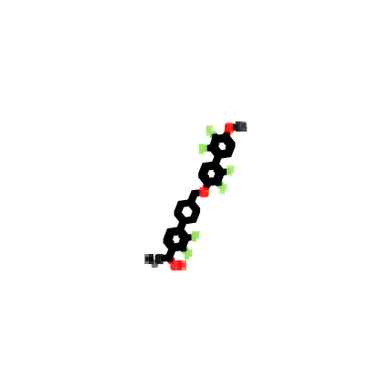 CCOc1ccc(-c2ccc(OCC3CCC(c4ccc(C(C)O)c(F)c4F)CC3)c(F)c2F)c(F)c1F